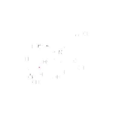 CCN1CC2(COC)CC[C@H](O)C34C5C[C@@H]6C(OC)C[C@@](O)(C5[C@H]6OC)C(O)(C(OC)C23)[C@H]14